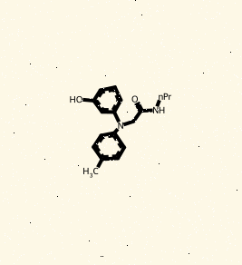 CCCNC(=O)CN(c1ccc(C)cc1)c1cccc(O)c1